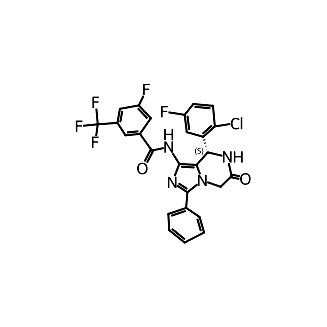 O=C1Cn2c(-c3ccccc3)nc(NC(=O)c3cc(F)cc(C(F)(F)F)c3)c2[C@H](c2cc(F)ccc2Cl)N1